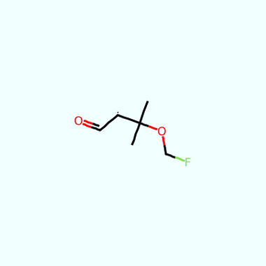 CC(C)([CH]C=O)OCF